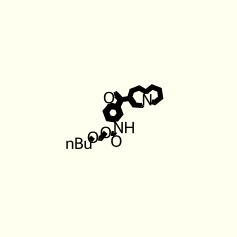 CCCCOCOC(=O)Nc1ccc2occ(C3=CCN4CCCCC4CC3)c2c1